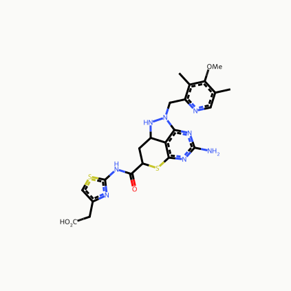 COc1c(C)cnc(CN2NC3CC(C(=O)Nc4nc(CC(=O)O)cs4)Sc4nc(N)nc2c43)c1C